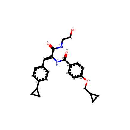 O=C(NCCO)C(=Cc1ccc(C2CC2)cc1)NC(=O)c1ccc(OCC2CC2)cc1